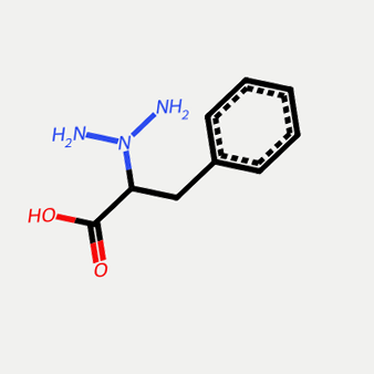 NN(N)C(Cc1ccccc1)C(=O)O